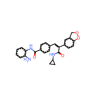 Nc1ccccc1NC(=O)c1ccc(C=C(C(=O)NC2CC2)c2ccc3c(c2)COO3)cc1